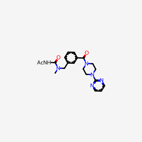 CC(=O)NC(=O)N(C)Cc1cccc(C(=O)N2CCN(c3ncccn3)CC2)c1